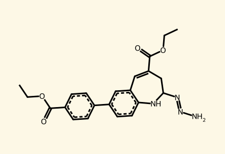 CCOC(=O)C1=Cc2cc(-c3ccc(C(=O)OCC)cc3)ccc2NC(N=NN)C1